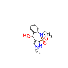 CCn1cc2c(n1)S(=O)(=O)N(C)c1ccccc1C2O